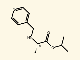 CC(C)OC(=O)[C@H](C)NCc1ccncc1